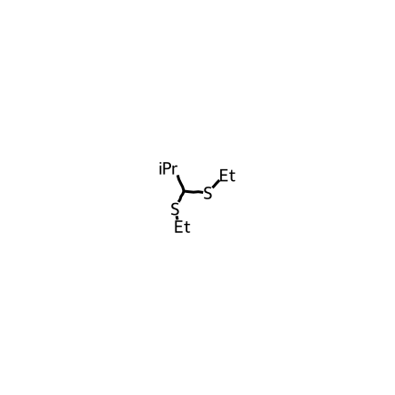 CCSC(SCC)C(C)C